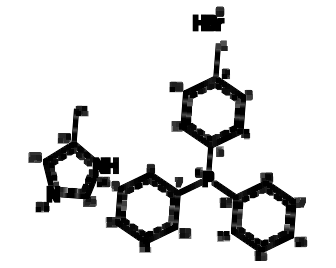 Br.Cc1ccc(P(c2ccccc2)c2ccccc2)cc1.Cc1cnc[nH]1